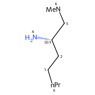 CCCCC[C@H](N)CNC